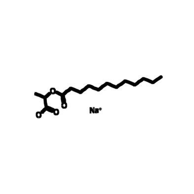 CCCCCCCCCCCC(=O)OC(C)C(=O)[O-].[Na+]